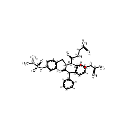 CN(C)S(=O)(=O)Oc1ccc(CN(C(=O)C(c2ccccc2)c2ccccc2)[C@H](CCCNC(=N)N)C(=O)NCC(=O)O)cc1